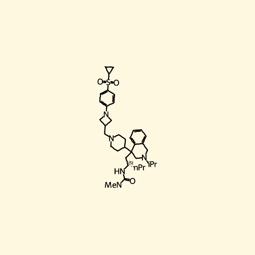 CCC[C@@H](CC1(C2CCN(CC3CN(c4ccc(S(=O)(=O)C5CC5)cc4)C3)CC2)CN(C(C)C)Cc2ccccc21)NC(=O)NC